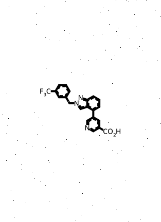 O=C(O)c1cncc(-c2cccc3nn(Cc4cccc(C(F)(F)F)c4)cc23)c1